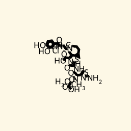 CC(C)(O/N=C(\C(=O)N[C@@H]1C(=O)N2C(C(=O)O)=C3C[N+](C)(CCNC(=O)c4ccc(O)c(O)c4Cl)CCCC4CC34S[C@H]12)c1csc(N)n1)C(=O)O